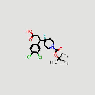 CC(C)(C)OC(=O)N1CCC(F)(C(CC(=O)O)c2ccc(Cl)c(Cl)c2)CC1